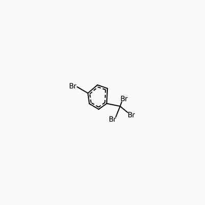 Brc1ccc(C(Br)(Br)Br)cc1